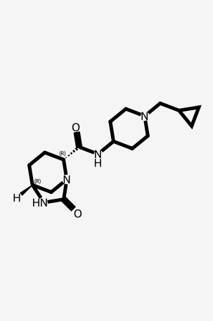 O=C(NC1CCN(CC2CC2)CC1)[C@H]1CC[C@@H]2CN1C(=O)N2